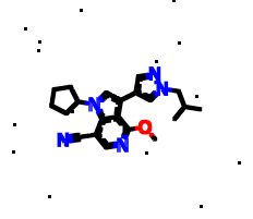 COc1ncc(C#N)c2c1c(-c1cnn(CC(C)C)c1)cn2C1CCCC1